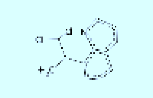 [CH2]C(c1cccc2cccnc12)C(Cl)Cl